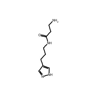 NCCC(=O)NCCCc1cn[nH]c1